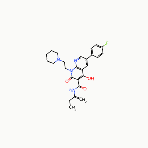 C=C(CC)NC(=O)c1c(O)c2cc(-c3ccc(F)cc3)cnc2n(CCN2CCCCC2)c1=O